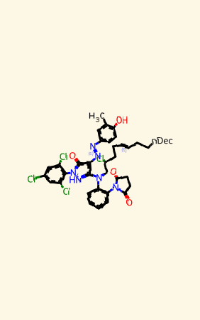 CCCCCCCCCCCC/C=C/CCC(Cl)CN(c1ccccc1N1C(=O)CCC1=O)c1[nH]n(-c2c(Cl)cc(Cl)cc2Cl)c(=O)c1/N=N/c1ccc(O)c(C)c1